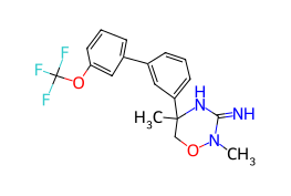 CN1OCC(C)(c2cccc(-c3cccc(OC(F)(F)F)c3)c2)NC1=N